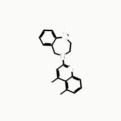 Cc1cccc2nc(N3CCS(=O)(=O)c4ccccc4C3)cc(Cl)c12